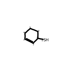 SC1C=C[CH]CC1